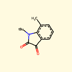 Cc1cccc2c1N(C(C)(C)C)C(=O)C2=O